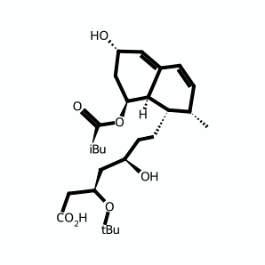 CC[C@H](C)C(=O)O[C@H]1C[C@H](O)C=C2C=C[C@H](C)[C@H](CC[C@@H](O)C[C@H](CC(=O)O)OC(C)(C)C)[C@H]21